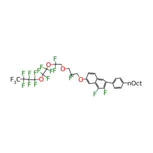 CCCCCCCCc1ccc(-c2cc3ccc(OC[C@@H](F)COCC(F)(F)OC(F)(F)C(F)(F)OC(F)(F)C(F)(F)C(F)(F)C(F)(F)F)cc3c(F)c2F)cc1